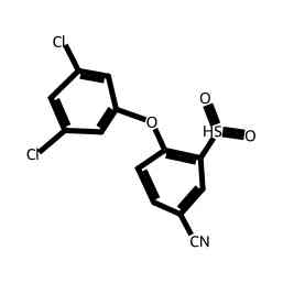 N#Cc1ccc(Oc2cc(Cl)cc(Cl)c2)c([SH](=O)=O)c1